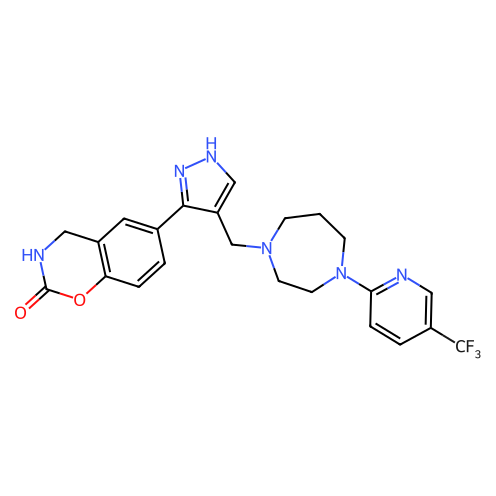 O=C1NCc2cc(-c3n[nH]cc3CN3CCCN(c4ccc(C(F)(F)F)cn4)CC3)ccc2O1